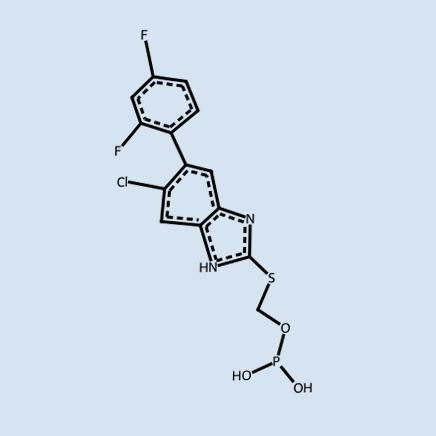 OP(O)OCSc1nc2cc(-c3ccc(F)cc3F)c(Cl)cc2[nH]1